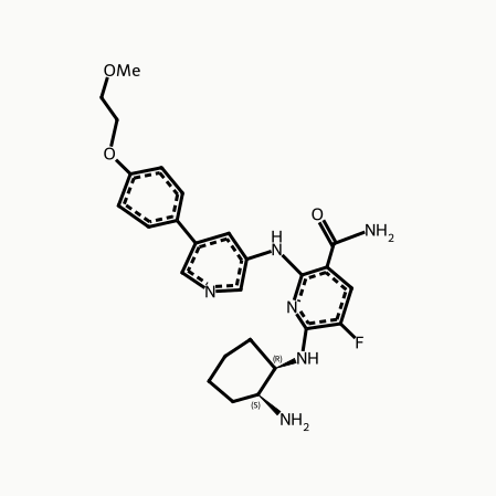 COCCOc1ccc(-c2cncc(Nc3nc(N[C@@H]4CCCC[C@@H]4N)c(F)cc3C(N)=O)c2)cc1